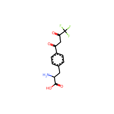 NC(Cc1ccc(C(=O)CC(=O)C(F)(F)F)cc1)C(=O)O